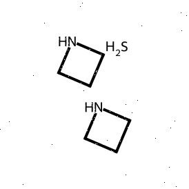 C1CNC1.C1CNC1.S